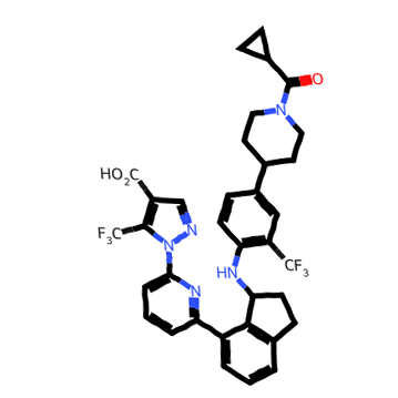 O=C(O)c1cnn(-c2cccc(-c3cccc4c3C(Nc3ccc(C5CCN(C(=O)C6CC6)CC5)cc3C(F)(F)F)CC4)n2)c1C(F)(F)F